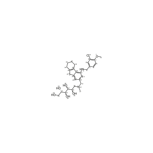 COc1ccc(CNc2nc(CN(C)C[C@@H](O)[C@H](O)[C@@H](O)[C@@H](O)CO)nc3sc4c(c23)CCCC4)cc1Cl